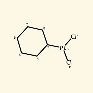 [Cl][Pt]([Cl])[CH]1CCCCC1